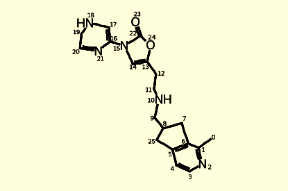 Cc1nccc2c1CC(CNCCc1cn(C3=CNCC=N3)c(=O)o1)C2